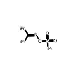 CC(C)C(=NOS(=O)(=O)C(C)C)C(C)C